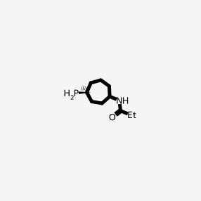 CCC(=O)NC1CCC[C@H](P)CC1